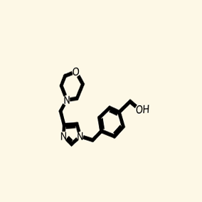 OCc1ccc(Cn2cnc(CN3CCOCC3)c2)cc1